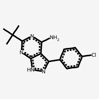 CC(C)(C)c1nc(N)c2c(-c3ccc(Cl)cc3)n[nH]c2n1